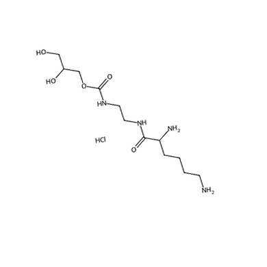 Cl.NCCCCC(N)C(=O)NCCNC(=O)OCC(O)CO